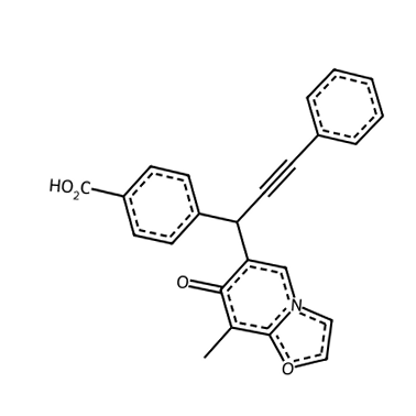 Cc1c(=O)c(C(C#Cc2ccccc2)c2ccc(C(=O)O)cc2)cn2ccoc12